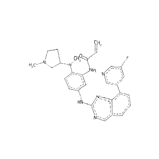 C=CC(=O)Nc1cc(Nc2ncc3cccc(-c4cncc(F)c4)c3n2)ccc1N(C)C1CCN(C)C1